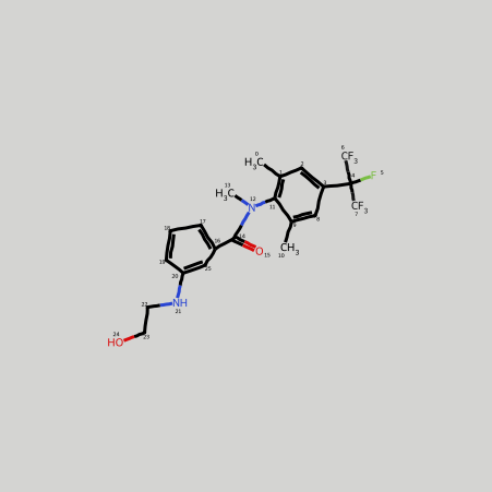 Cc1cc(C(F)(C(F)(F)F)C(F)(F)F)cc(C)c1N(C)C(=O)c1cccc(NCCO)c1